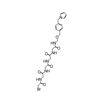 O=C(CBr)NCC(=O)NCC(=O)NCC(=O)NCC(=O)NCOCc1ccc(Cn2cccc2)cc1